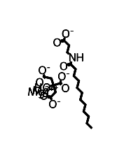 CCCCCCCCCCCC(=O)NCCC(=O)[O-].O=C([O-])CC(O)(CC(=O)[O-])C(=O)[O-].[Mg+2].[Mg+2]